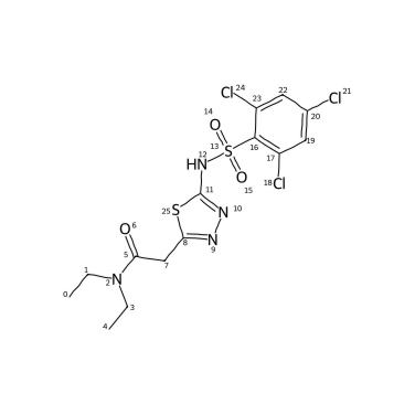 CCN(CC)C(=O)Cc1nnc(NS(=O)(=O)c2c(Cl)cc(Cl)cc2Cl)s1